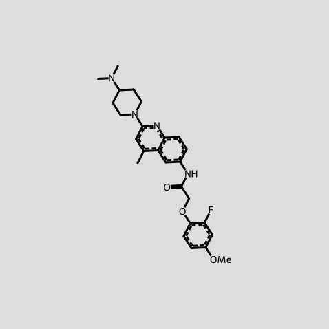 COc1ccc(OCC(=O)Nc2ccc3nc(N4CCC(N(C)C)CC4)cc(C)c3c2)c(F)c1